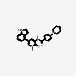 O=C(Nc1cc(-c2cccc3[nH]ccc23)c[nH]c1=O)c1ccc(N2CCCCC2)cc1